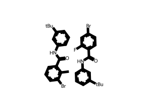 CC(C)(C)c1cccc(NC(=O)c2ccc(Br)cc2F)c1.Cc1c(Br)cccc1C(=O)Nc1cccc(C(C)(C)C)c1